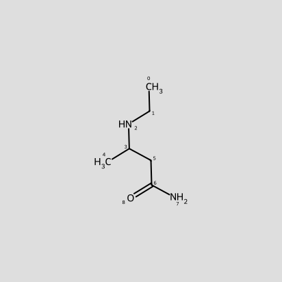 CCNC(C)CC(N)=O